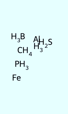 B.C.P.S.[AlH3].[Fe]